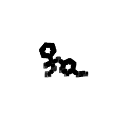 CCOP(=S)(Oc1ccc(SC)nn1)c1ccccc1